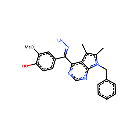 COc1cc(C(=NN)c2ncnc3c2c(C)c(C)n3Cc2ccccc2)ccc1O